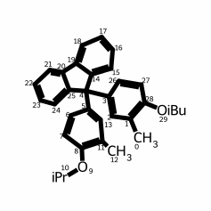 Cc1cc(C2(c3ccc(OC(C)C)c(C)c3)c3ccccc3-c3ccccc32)ccc1OCC(C)C